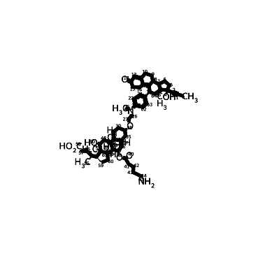 CC#C[C@@]1(O)CCC2C3CCC4=CC(=O)CCC4=C3[C@H](c3ccc(N(C)CCO[C@H]4CC[C@@]5(C)[C@@H](C4)C[C@@H](OC(=O)CCCCN)[C@@H]4[C@@H]5C[C@H](O)[C@]5(C)[C@@H]([C@H](C)CCC(=O)O)CC[C@@H]45)cc3)C[C@@]21C